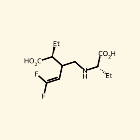 CC[C@H](NCC(C=C(F)F)[C@H](CC)C(=O)O)C(=O)O